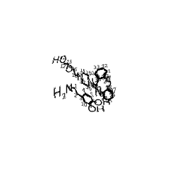 NCCc1ccc(O)c(O)c1.OCCOCCN1CCN(C2=Nc3ccccc3Sc3ccccc32)CC1